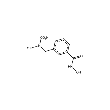 CC(C)(C)N(Cc1cccc(C(=O)NO)c1)C(=O)O